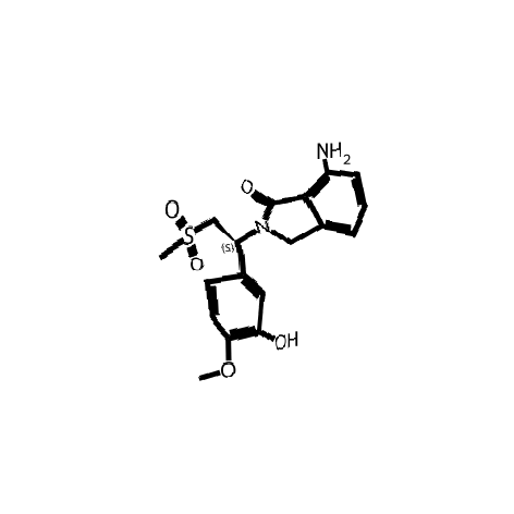 COc1ccc([C@@H](CS(C)(=O)=O)N2Cc3cccc(N)c3C2=O)cc1O